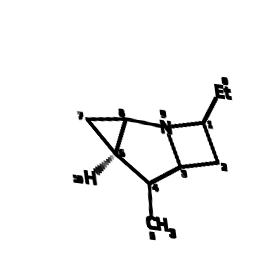 CCC1CC2C(C)[C@H]3CC3N12